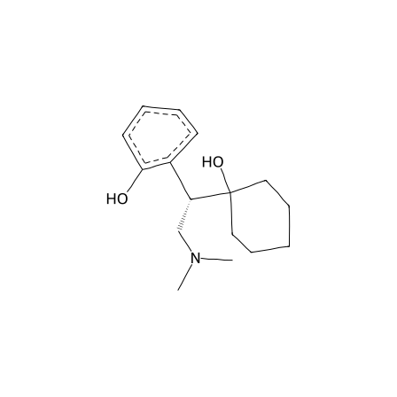 CN(C)C[C@H](c1ccccc1O)C1(O)CCCCC1